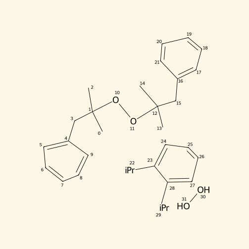 CC(C)(Cc1ccccc1)OOC(C)(C)Cc1ccccc1.CC(C)c1ccccc1C(C)C.OO